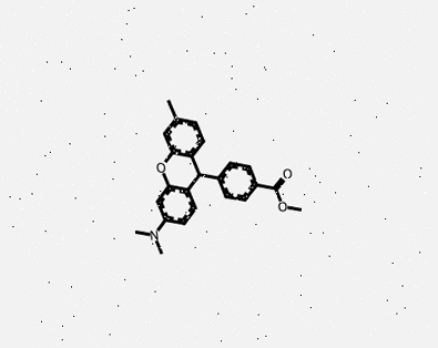 COC(=O)c1ccc(C2c3ccc(C)cc3Oc3cc(N(C)C)ccc32)cc1